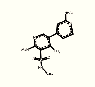 CCCCNS(=O)(=O)c1c(NC)ncc(-c2ccnc(NC(C)=O)c2)c1C